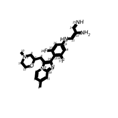 Cc1ccn2c(CC3CN(C)CCO3)c(-c3c(F)cc(N/C=C(/N)C=N)cc3F)nc2c1